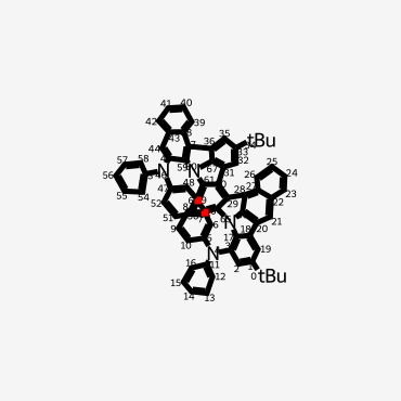 CC(C)(C)c1cc(N(c2ccccc2)c2ccccc2)c2c(c1)c1cc3ccccc3c3c4c5c6cc(C(C)(C)C)cc7c8c9ccccc9cc(N(c9ccccc9)c9ccccc9)c8n(c5ccc4n2c13)c67